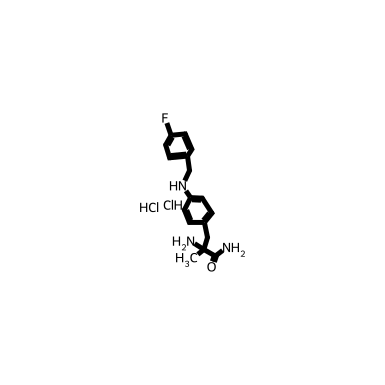 CC(N)(Cc1ccc(NCc2ccc(F)cc2)cc1)C(N)=O.Cl.Cl